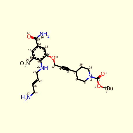 CC(C)(C)OC(=O)N1CCC(C#CCOc2cc(C(N)=O)cc([N+](=O)[O-])c2NC/C=C/CN)CC1